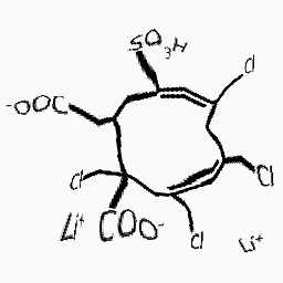 O=C([O-])C1C(S(=O)(=O)O)=C(Cl)C(Cl)=C(Cl)C1(Cl)C(=O)[O-].[Li+].[Li+]